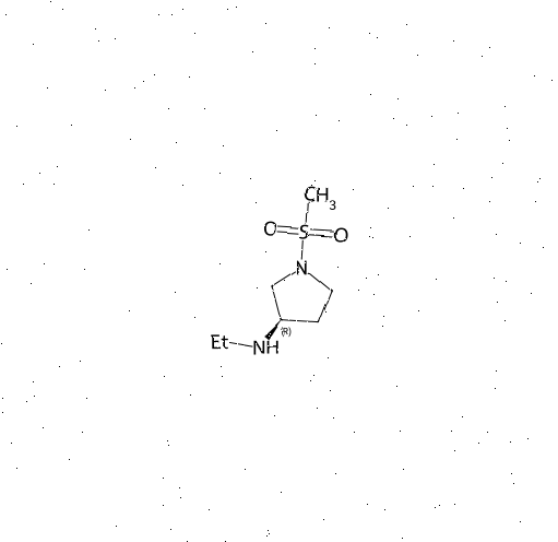 CCN[C@@H]1CCN(S(C)(=O)=O)C1